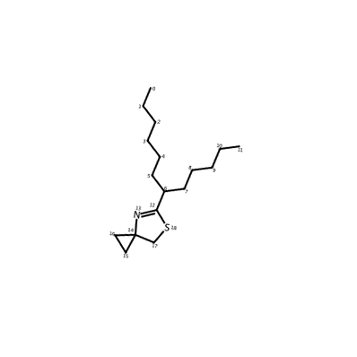 CCCCCCC(CCCCC)C1=NC2(CC2)CS1